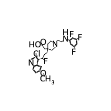 COc1ccc2ncc(Cl)c([C@H](F)CCC3(CC(=O)O)CCN(CCNc4cc(F)cc(F)c4F)CC3)c2c1